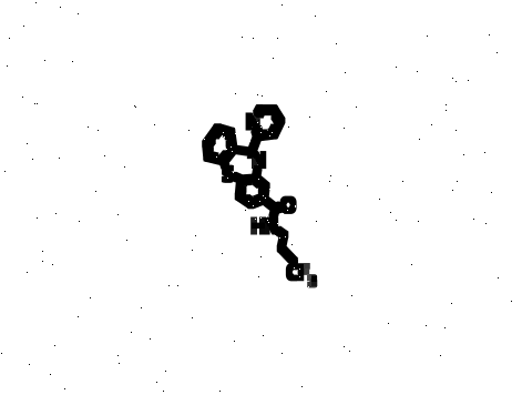 O=C(NCCCC(F)(F)F)c1ccc2c(c1)N=C(c1ccccn1)c1ccccc1S2